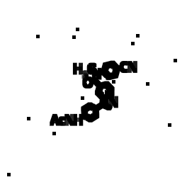 CC(=O)Nc1ccc(-c2cnn3ccc(C(=O)N(C)c4ccc(C#N)cc4)cc23)cc1